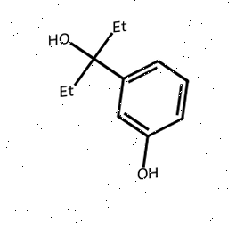 CCC(O)(CC)c1cccc(O)c1